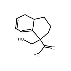 O=C(O)C1(CO)CCCC2CC=CC=C21